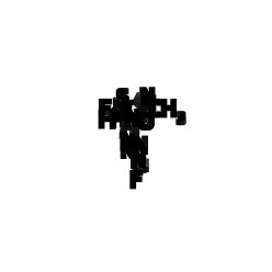 Cn1ncc(-c2nc(C(F)(F)F)cs2)c1C(=O)Nc1ccn2nc(N3CC[C@@H](F)C3)nc2c1